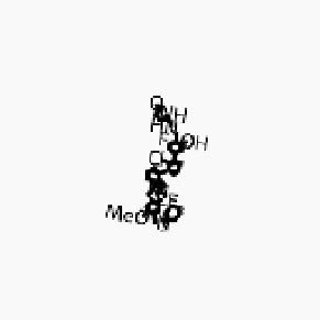 COc1cc(Cn2ncc3c(-c4cccc(-c5cc(O)c(CNCC6CCC(=O)N6)c(F)c5)c4Cl)cccc32)c(C(F)(F)F)cc1CN(C)C1CCCCC1